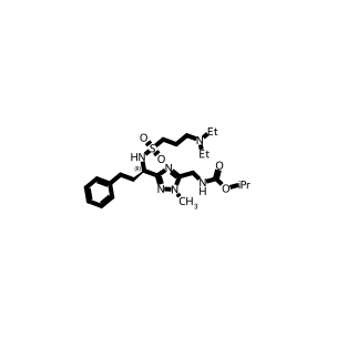 CCN(CC)CCCS(=O)(=O)N[C@H](CCc1ccccc1)c1nc(CNC(=O)OC(C)C)n(C)n1